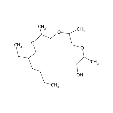 CCCCC(CC)COC(C)COC(C)COC(C)CO